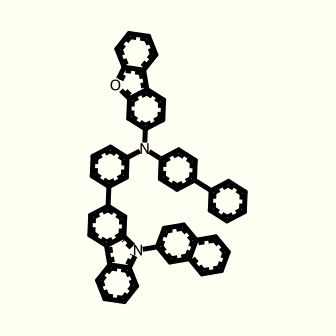 c1ccc(-c2ccc(N(c3cccc(-c4ccc5c6ccccc6n(-c6ccc7ccccc7c6)c5c4)c3)c3ccc4c(c3)oc3ccccc34)cc2)cc1